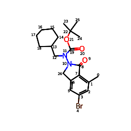 Cc1cc(Br)cc2c1C(=O)N(N(CC1CCCCC1)C(=O)OC(C)(C)C)C2